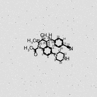 CC(=O)N1c2ccc(N3CCNCC3)cc2[C@H](Nc2ccc(C#N)cc2)[C@@H](C)[C@@H]1C